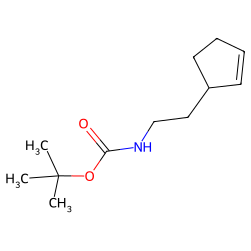 CC(C)(C)OC(=O)NCCC1C=CCC1